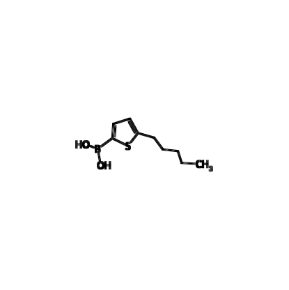 CCCCCc1ccc(B(O)O)s1